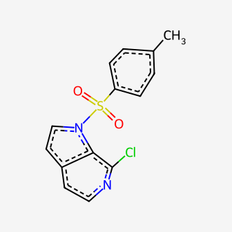 Cc1ccc(S(=O)(=O)n2ccc3ccnc(Cl)c32)cc1